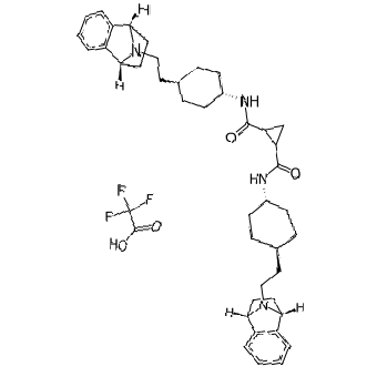 O=C(N[C@H]1CC[C@H](CCN2[C@@H]3CC[C@H]2c2ccccc23)CC1)C1CC1C(=O)N[C@H]1CC[C@H](CCN2[C@@H]3CC[C@H]2c2ccccc23)CC1.O=C(O)C(F)(F)F